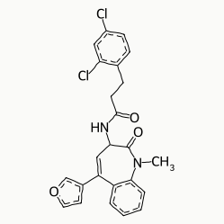 CN1C(=O)C(NC(=O)CCc2ccc(Cl)cc2Cl)C=C(c2ccoc2)c2ccccc21